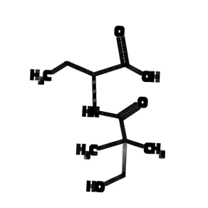 CCC(NC(=O)C(C)(C)CO)C(=O)O